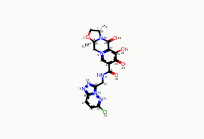 C[C@H]1CO[C@@H]2Cn3cc(C(=O)NCc4nnc5ccc(Cl)nn45)c(=O)c(O)c3C(=O)N12